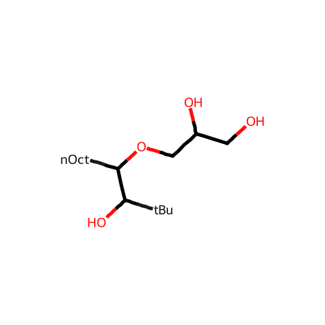 CCCCCCCCC(OCC(O)CO)C(O)C(C)(C)C